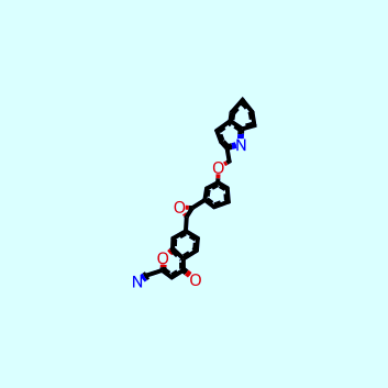 N#Cc1cc(=O)c2ccc(C3OC3c3cccc(OCc4ccc5ccccc5n4)c3)cc2o1